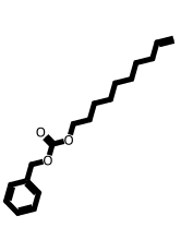 C=CCCCCCCCCOC(=O)OCc1ccccc1